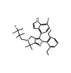 CCc1cccc(CC)c1-n1nc2c(c1-c1ccc(F)c3[nH]ccc13)CN(CC(C)(C)C(F)(F)F)C2(C)C